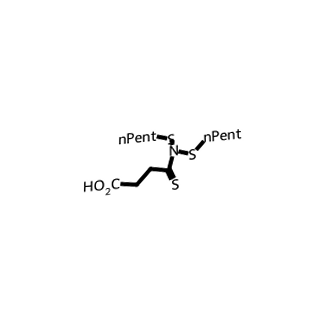 CCCCCSN(SCCCCC)C(=S)CCC(=O)O